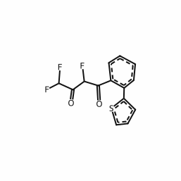 O=C(c1ccccc1-c1cccs1)C(F)C(=O)C(F)F